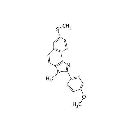 COc1ccc(-c2nc3c4ccc(SC)cc4ccc3n2C)cc1